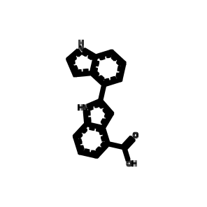 O=C(O)c1cccc2[nH]c(-c3cccc4[nH]ccc34)cc12